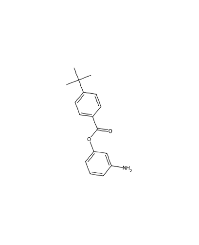 CC(C)(C)c1ccc(C(=O)Oc2cccc(N)c2)cc1